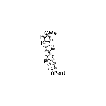 CCCCCC1CCC(c2ccc(-c3ccc(-c4ccc(OC)c(F)c4F)cc3)cc2F)CC1